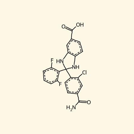 NC(=O)c1ccc(C2(c3c(F)cccc3F)Nc3ccc(C(=O)O)cc3N2)c(Cl)c1